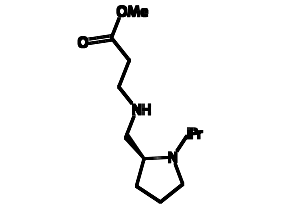 COC(=O)CCNC[C@@H]1CCCN1C(C)C